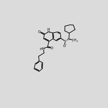 CN(C1CCCCC1)[S+]([O-])c1ccc2[nH]c(=O)cc(C(=O)NCCc3ccccc3)c2c1